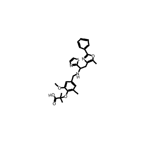 COc1cc(CNC(Cc2nc(-c3ccccc3)oc2C)c2nccs2)cc(C)c1OC(C)(C)C(=O)O